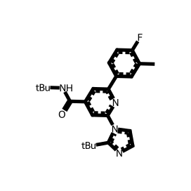 Cc1cc(-c2cc(C(=O)NC(C)(C)C)cc(-n3ccnc3C(C)(C)C)n2)ccc1F